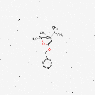 CC(C)CC=C(OCc1ccccc1)O[Si](C)(C)C